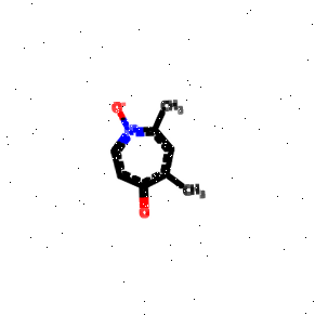 Cc1cc(C)[n+]([O-])ccc1=O